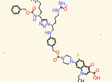 CCCC[C@H](NC(=O)OCc1ccccc1)c1cn([C@@H](CCCNC(N)=O)CNc2ccc(COC(=O)N3CCN(c4cc5c(cc4F)c(=O)c(C(=O)O)cn5CC)CC3)cc2)nn1